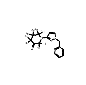 [2H]C1([2H])C(=O)C([2H])([2H])C([2H])([2H])C([2H])([2H])N1c1ccn(Cc2ccccc2)n1